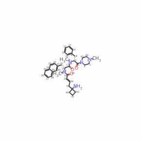 CN1CCN(C(=O)[C@@H](Cc2ccccc2)N(C)C(=O)[C@@H](Cc2ccc3ccccc3c2)N(C)C(=O)C=CCC2(N)CCC2)CC1